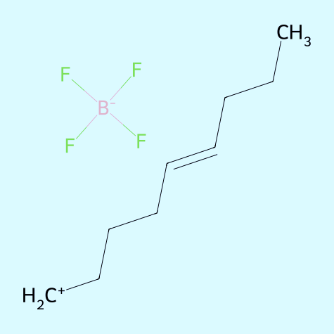 F[B-](F)(F)F.[CH2+]CCC/C=C/CCC